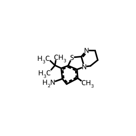 Cc1cc(N)c(C(C)(C)C)c2c1N1CCCN=C1S2